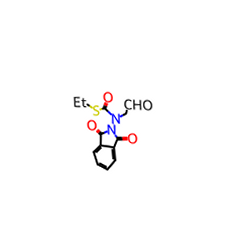 CCSC(=O)N(CC=O)N1C(=O)c2ccccc2C1=O